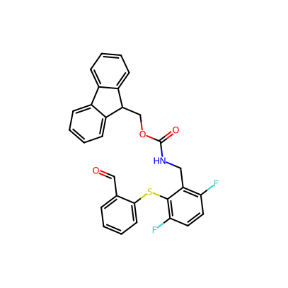 O=Cc1ccccc1Sc1c(F)ccc(F)c1CNC(=O)OCC1c2ccccc2-c2ccccc21